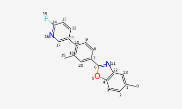 Cc1ccc2oc(-c3ccc(-c4ccc(F)nc4)c(C)c3)nc2c1